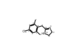 Cc1cc(Cl)cc(C)c1CC1=NCCN1